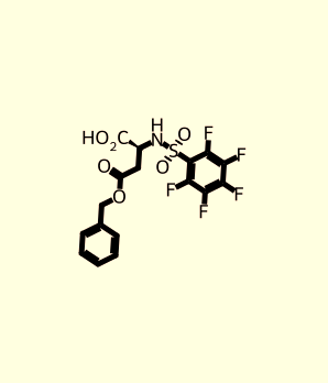 O=C(C[C@H](NS(=O)(=O)c1c(F)c(F)c(F)c(F)c1F)C(=O)O)OCc1ccccc1